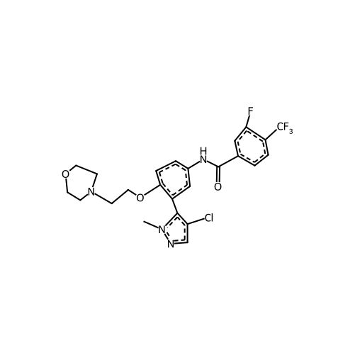 Cn1ncc(Cl)c1-c1cc(NC(=O)c2ccc(C(F)(F)F)c(F)c2)ccc1OCCN1CCOCC1